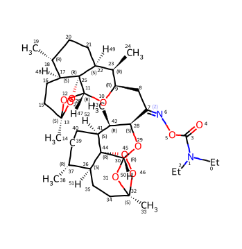 CCN(CC)C(=O)O/N=C(/C[C@H]1O[C@@H]2O[C@]3(C)CC[C@H]4[C@H](C)CC[C@@H]([C@H]1C)[C@@]24OO3)[C@H]1O[C@@H]2O[C@]3(C)CC[C@H]4[C@H](C)CC[C@@H]([C@H]1C)[C@@]24OO3